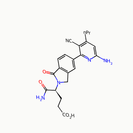 CCCc1cc(N)nc(-c2ccc3c(c2)CN([C@@H](CCC(=O)O)C(N)=O)C3=O)c1C#N